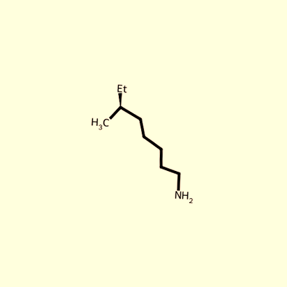 CC[C@H](C)CCCCCN